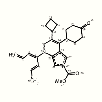 C=CC=C(C=CC)N1CC(C2CCC2)=C(C2CCC(=O)CC2)c2cn(C(=O)OC)cc21